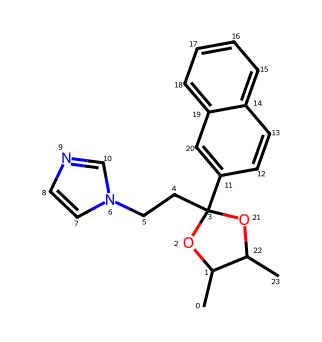 CC1OC(CCn2ccnc2)(c2ccc3ccccc3c2)OC1C